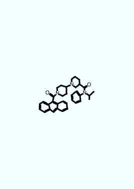 CC(C)N(C(=O)C1CCCN(C2CCN(C(=O)c3c4ccccc4cc4ccccc34)CC2)C1)c1ccccc1